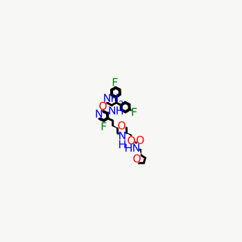 NC(=O)[C@@H](Nc1cncc(F)c1CC[C@@H]1CN[C@H](COC(=O)NC[C@H]2CCCO2)CO1)C(c1ccc(F)cc1)c1ccc(F)cc1